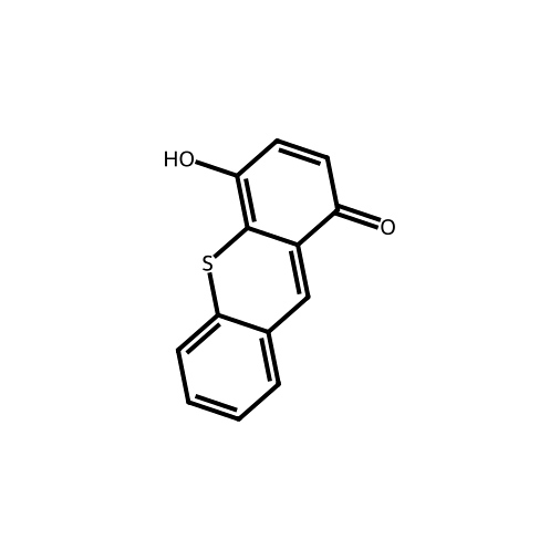 O=c1ccc(O)c2sc3ccccc3cc1-2